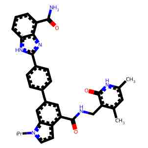 Cc1cc(C)c(CNC(=O)c2cc(-c3ccc(-c4nc5c(C(N)=O)cccc5[nH]4)cc3)cc3c2ccn3C(C)C)c(=O)[nH]1